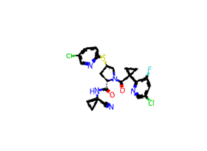 N#CC1(NC(=O)[C@@H]2C[C@@H](Sc3ccc(Cl)cn3)CN2C(=O)C2(c3ncc(Cl)cc3F)CC2)CC1